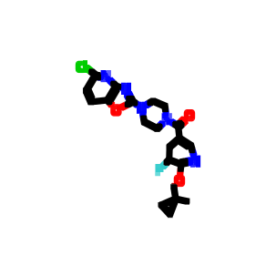 CC1(COC2=NC=C(C(=O)N3CCN(c4nc5nc(Cl)ccc5o4)CC3)CC2F)CC1